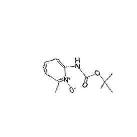 Cc1cccc(NC(=O)OC(C)(C)C)[n+]1[O-]